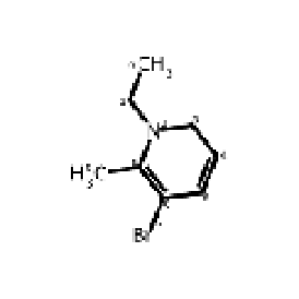 CCN1CC=CC(Br)=C1C